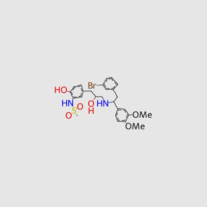 COc1ccc(C(Cc2cccc(Br)c2)NCC(O)Cc2ccc(O)c(NS(C)(=O)=O)c2)cc1OC